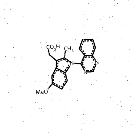 COc1ccc2c(c1)c(CC(=O)O)c(C)n2-c1ncnc2ccccc12